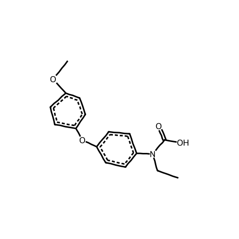 CCN(C(=O)O)c1ccc(Oc2ccc(OC)cc2)cc1